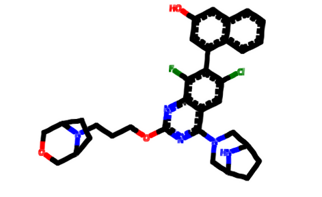 Oc1cc(-c2c(Cl)cc3c(N4CC5CCC(C4)N5)nc(OCCCN4C5CCC4COC5)nc3c2F)c2ccccc2c1